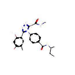 CCNC(=O)c1nnc(-c2cc(C(C)C)c(O)cc2O)n1-c1ccc(C(=O)NC(CC(C)C)C(=O)O)cc1